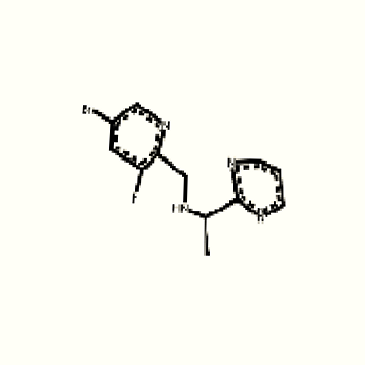 C[C@@H](NCc1ncc(Br)cc1F)c1ncccn1